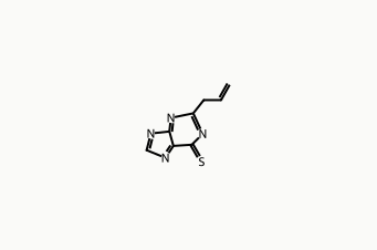 C=CCC1=NC(=S)C2=NC=NC2=N1